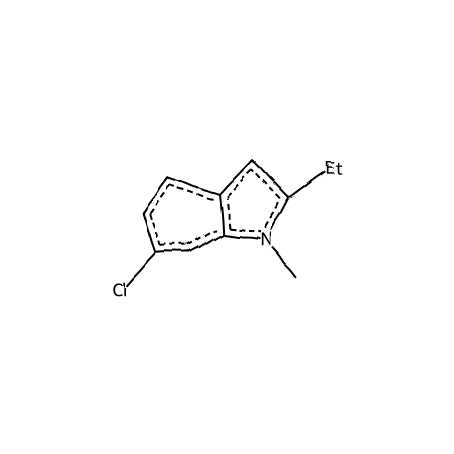 CCc1cc2ccc(Cl)cc2n1C